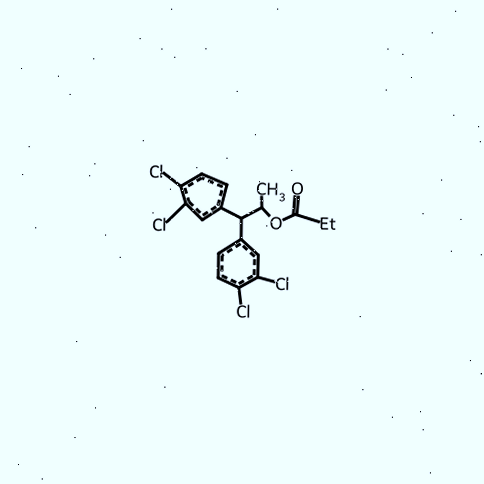 CCC(=O)OC(C)C(c1ccc(Cl)c(Cl)c1)c1ccc(Cl)c(Cl)c1